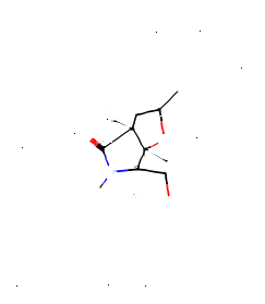 CC1C[C@H]2C(=O)N(C)[C@](C)(CO)[C@@]2(C)O1